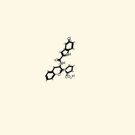 O=C(NC(Cc1ccccc1)C(=O)N1CCC[C@H]1C(=O)O)c1cc2cc(Cl)ccc2[nH]1